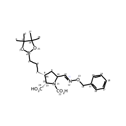 CC1(C)OB(CCC[C@@H]2CC(/C=N/OCc3ccccc3)N(C(=O)O)[C@@H]2C(=O)O)OC1(C)C